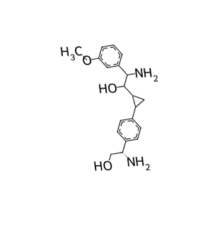 COc1cccc(C(N)C(O)C2CC2c2ccc([C@H](N)CO)cc2)c1